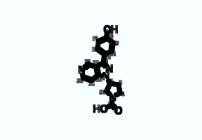 O=C(O)N1CCC(n2nc(-c3ccc(O)cc3)c3cnccc32)C1